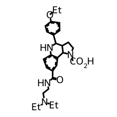 CCOc1ccc(C2Nc3ccc(C(=O)NCCN(CC)CC)cc3C3C2CCN3C(=O)O)cc1